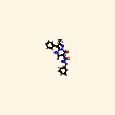 Cc1[nH]c2c(-c3ccccc3)c(C(F)(F)F)nn2c(=O)c1C(=O)NCc1ccccc1